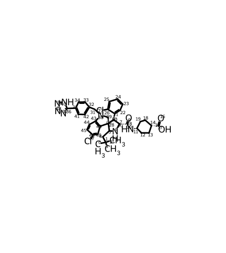 CC(C)(C)CC1N[C@@H](C(=O)N[C@H]2CC[C@@H](C(=O)O)CC2)[C@H](c2ccccc2Cl)[C@]12CN(Cc1ccc(-c3nnn[nH]3)cc1)c1ccc(Cl)cc12